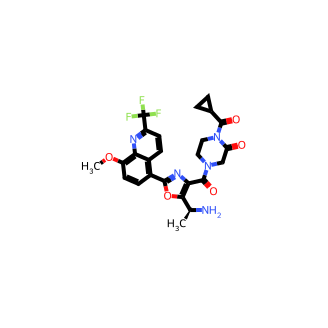 COc1ccc(-c2nc(C(=O)N3CCN(C(=O)C4CC4)C(=O)C3)c([C@H](C)N)o2)c2ccc(C(F)(F)F)nc12